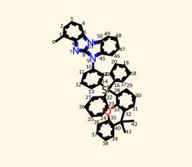 Cc1cccc2c1nc1n(-c3cccc([Si](c4ccccc4)(c4ccccc4)c4cccc5c4Oc4ccccc4C5(C)C)c3)c3ccccc3n21